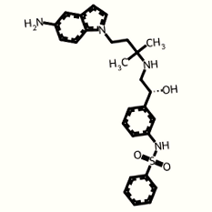 CC(C)(CCn1ccc2cc(N)ccc21)NC[C@H](O)c1cccc(NS(=O)(=O)c2ccccc2)c1